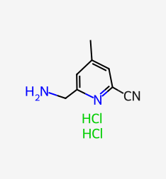 Cc1cc(C#N)nc(CN)c1.Cl.Cl